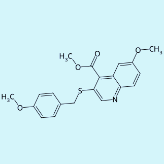 COC(=O)c1c(SCc2ccc(OC)cc2)cnc2ccc(OC)cc12